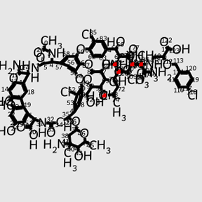 CC(=O)NC1C(=O)N[C@@H](C(N)=O)c2ccc(O)c(c2)-c2c(O)cc(O)cc2C(C(=O)O)NC(=O)C[C@H](OC2CC(C)(N)C(O)C(C)O2)c2ccc(c(Cl)c2)Oc2cc1cc(Oc1ccc(C(O)[C@H](NC(=O)CCC(C)C)C(=O)NCC(N)=O)cc1Cl)c2OC1OC(CO)C(O)C(O)C1OC(C)OC(C)C(O)C(C)(C)NCC(OCc1ccc(Cl)cc1)C(=O)O